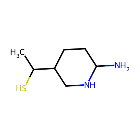 CC(S)C1CCC(N)NC1